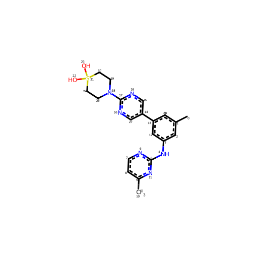 Cc1cc(Nc2nccc(C(F)(F)F)n2)cc(-c2cnc(N3CCS(O)(O)CC3)nc2)c1